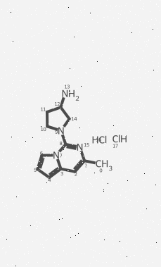 Cc1cc2cccn2c(N2CCC(N)C2)n1.Cl.Cl